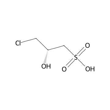 O=S(=O)(O)C[C@H](O)CCl